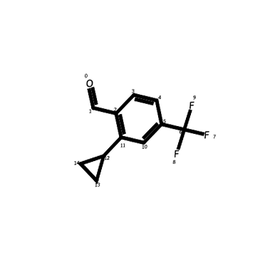 O=Cc1ccc(C(F)(F)F)cc1C1CC1